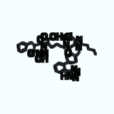 CCCCc1nc(Cl)c(C(=O)NCCCC(NC(=O)C(Cc2ccccc2)C(=O)NO)C(=O)O)n1Cc1ccc(-c2ccccc2-c2nnn[nH]2)cc1